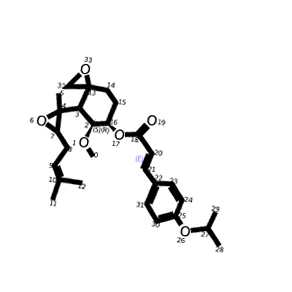 CO[C@H]1C(C2(C)OC2CC=C(C)C)C2(CC[C@H]1OC(=O)/C=C/c1ccc(OC(C)C)cc1)CO2